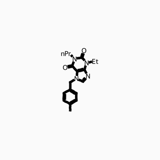 CCCn1c(=O)c2c(ncn2Cc2ccc(C)cc2)n(CC)c1=O